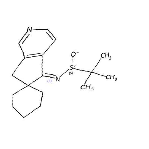 CC(C)(C)[S@@+]([O-])/N=C1\c2ccncc2CC12CCCCC2